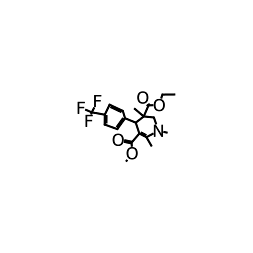 CCOC(=O)C1(C)CN(C)C(C)=C(C(=O)OC)C1c1ccc(C(F)(F)F)cc1